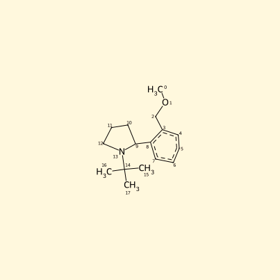 COCc1ccccc1C1CCCN1C(C)(C)C